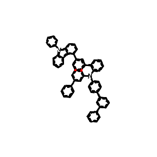 c1ccc(-c2cccc(-c3ccc(N(c4cccc(-c5ccccc5)c4)c4ccccc4-c4cccc(-c5cccc6c5c5ccccc5n6-c5ccccc5)c4)cc3)c2)cc1